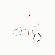 CC(=O)O.COCC(C(=O)OC1CC2CCC(C1)N2C)c1ccccc1